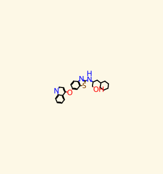 OCC(CC1CCCCC1)Nc1nc2ccc(Oc3ccnc4ccccc34)cc2s1